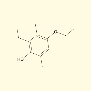 CCOc1cc(C)c(O)c(CC)c1C